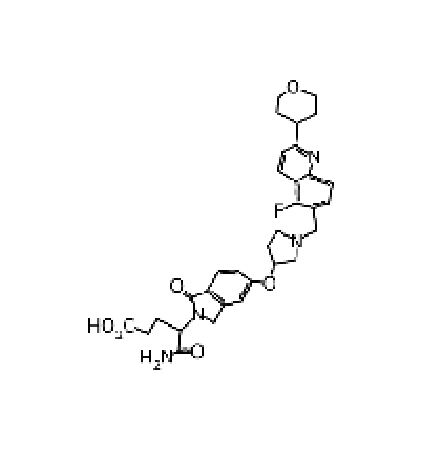 NC(=O)C(CCC(=O)O)N1Cc2cc(O[C@H]3CCN(Cc4ccc5nc(C6CCOCC6)ccc5c4F)C3)ccc2C1=O